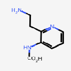 NCCc1ncccc1NC(=O)O